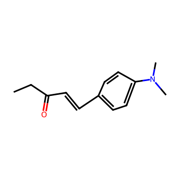 CCC(=O)C=Cc1ccc(N(C)C)cc1